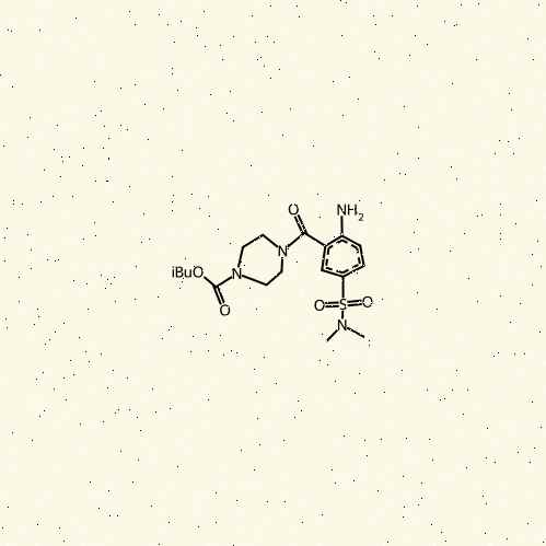 CC(C)COC(=O)N1CCN(C(=O)c2cc(S(=O)(=O)N(C)C)ccc2N)CC1